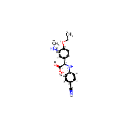 CCOc1ccc(C(Nc2ccc(C#N)cc2)C(=O)O)cc1NC